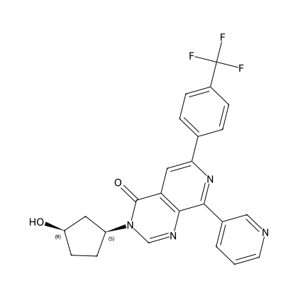 O=c1c2cc(-c3ccc(C(F)(F)F)cc3)nc(-c3cccnc3)c2ncn1[C@H]1CC[C@@H](O)C1